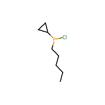 CCCCCP(Cl)C1CC1